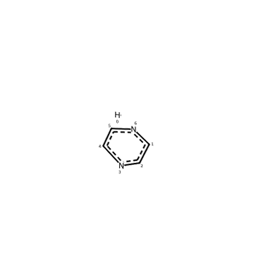 [H].c1cnccn1